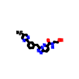 Cc1cnc(-c2cccc(Cc3nnc4ccc(C(=O)NCCO)nn34)c2)nc1